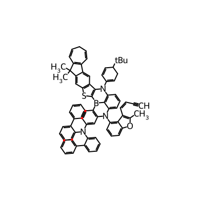 C#C/C=C\c1c(C)oc2cccc(N3c4cc(N(c5ccccc5-c5ccccc5)c5ccccc5-c5ccccc5)ccc4B4c5sc6cc7c(cc6c5N(C5=CCC(C(C)(C)C)C=C5)c5cccc3c54)C3=C(C=CCC=C3)C7(C)C)c12